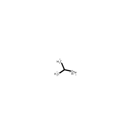 CC(C)O.[Te]